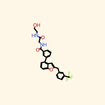 O=C(CNC(=O)c1cccc(-c2cccc3oc(Cc4cccc(C(F)(F)F)c4)cc23)c1)NCCO